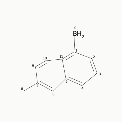 Bc1cccc2cc(C)ccc12